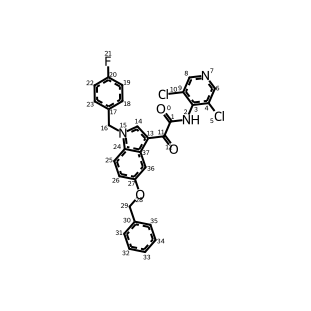 O=C(Nc1c(Cl)cncc1Cl)C(=O)c1cn(Cc2ccc(F)cc2)c2ccc(OCc3ccccc3)cc12